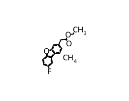 C.CCOC(=O)Cc1ccc2c(c1)oc1ccc(F)cc12